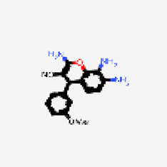 COc1cccc(C2C(C#N)=C(N)Oc3c2ccc(N)c3N)c1